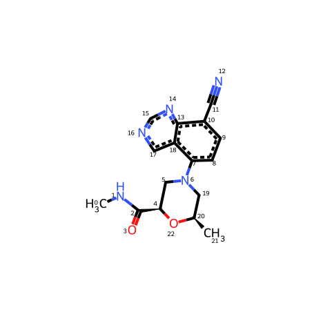 CNC(=O)[C@H]1CN(c2ccc(C#N)c3ncncc23)C[C@@H](C)O1